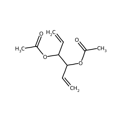 C=CC(OC(C)=O)C(C=C)OC(C)=O